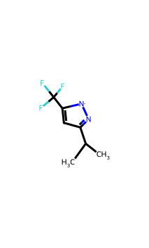 CC(C)C1=N[N]C(C(F)(F)F)=C1